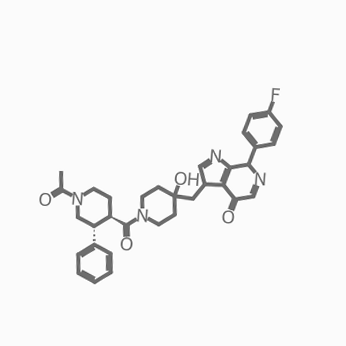 CC(=O)N1CC[C@@H](C(=O)N2CCC(O)(CC3C=NC4=C3C(=O)C=NC4c3ccc(F)cc3)CC2)[C@H](c2ccccc2)C1